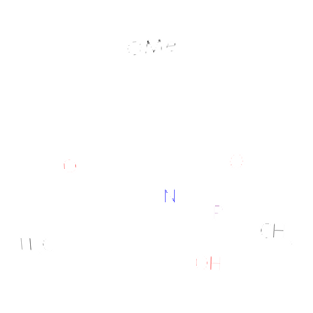 COC[C@@H]1CN(P(C)(=O)O)C[C@H](C)O1